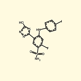 NS(=O)(=O)c1cc(-c2nnc(O)s2)c(Nc2ccc(I)cc2)cc1F